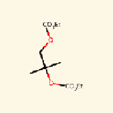 CCOC(=O)OCC(C)(C)OC(=O)OCC